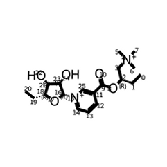 CC[C@H](C[N+](C)(C)C)OC(=O)c1ccc[n+]([C@@H]2O[C@H](CC)[C@@H](O)[C@H]2O)c1